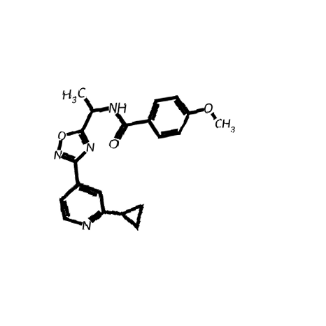 COc1ccc(C(=O)NC(C)c2nc(-c3ccnc(C4CC4)c3)no2)cc1